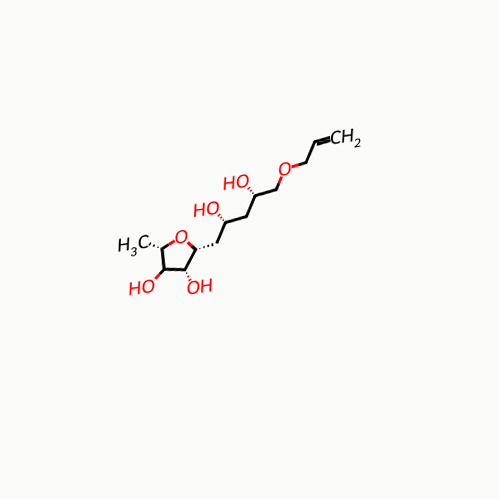 C=CCOC[C@@H](O)C[C@@H](O)C[C@H]1O[C@@H](C)C(O)[C@H]1O